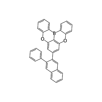 c1ccc(-c2cc3ccccc3cc2-c2cc3c4c(c2)Oc2ccccc2B4c2ccccc2O3)cc1